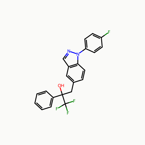 OC(Cc1ccc2c(cnn2-c2ccc(F)cc2)c1)(c1ccccc1)C(F)(F)F